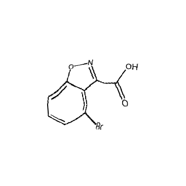 O=C(O)c1noc2cccc(Br)c12